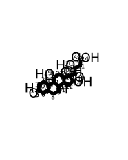 C[C@]12CCC(=O)C=C1CC[C@H]1C3=CC(O)[C@](O)(C(=O)C(O)CC(=O)O)[C@@]3(C)CC(O)[C@@H]12